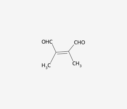 C/C(C=O)=C(\C)C=O